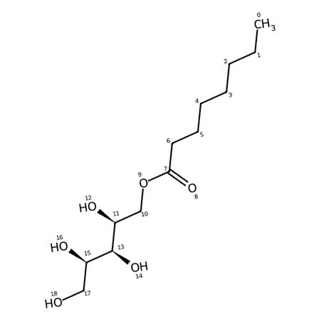 CCCCCCCC(=O)OC[C@H](O)[C@@H](O)[C@H](O)CO